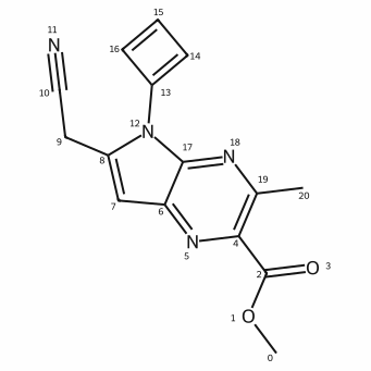 COC(=O)c1nc2cc(CC#N)n(C3=CC=C3)c2nc1C